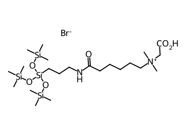 C[N+](C)(CCCCCC(=O)NCCC[Si](O[Si](C)(C)C)(O[Si](C)(C)C)O[Si](C)(C)C)CC(=O)O.[Br-]